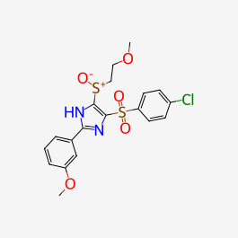 COCC[S+]([O-])c1[nH]c(-c2cccc(OC)c2)nc1S(=O)(=O)c1ccc(Cl)cc1